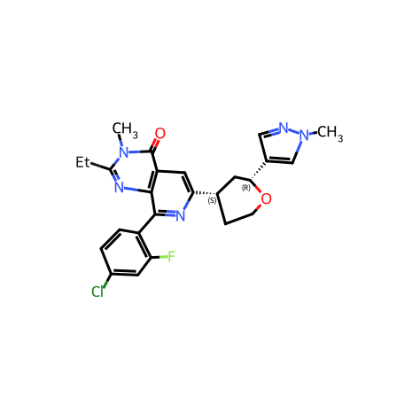 CCc1nc2c(-c3ccc(Cl)cc3F)nc([C@H]3CCO[C@@H](c4cnn(C)c4)C3)cc2c(=O)n1C